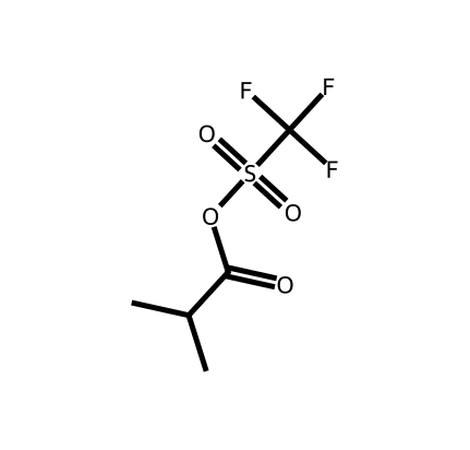 CC(C)C(=O)OS(=O)(=O)C(F)(F)F